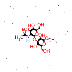 CO[C@H]1O[C@H](CO)[C@H](O)[C@H](O[C@@H]2O[C@H](CO)[C@H](O)[C@H](O)[C@@H]2NC(C)=O)[C@H]1O